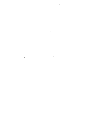 CNC(C)C(=O)Nc1cnc(-c2ccc(F)cc2)n(Cc2cncc(N3CCc4cc(F)ccc43)c2)c1=O